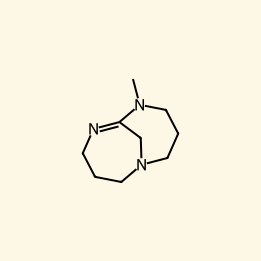 CN1CCCN2CCCN=C1C2